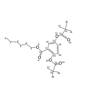 CCCCCCOC(=O)c1cc(OC(=O)C(C)(C)C)ccc1OC(=O)C(C)(C)C